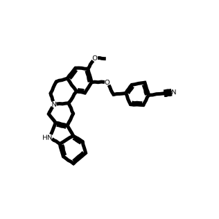 COc1cc2c(cc1OCc1ccc(C#N)cc1)C1Cc3c([nH]c4ccccc34)CN1CC2